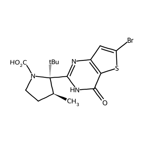 C[C@H]1CCN(C(=O)O)[C@]1(c1nc2cc(Br)sc2c(=O)[nH]1)C(C)(C)C